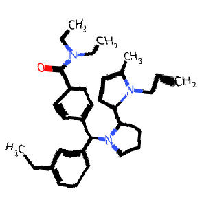 C=CCN1C(C)CCC1C1CCCN1C(C1=CCC(C(=O)N(CC)CC)C=C1)C1=CC(CC)=CCC1